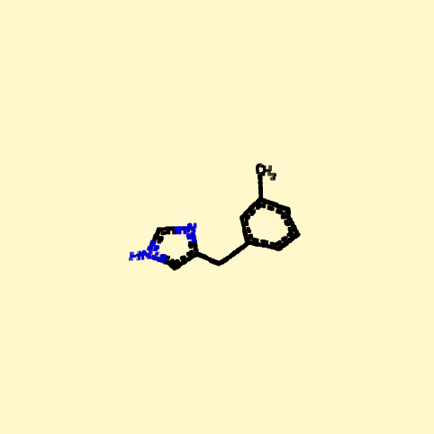 Cc1cccc(Cc2c[nH]cn2)c1